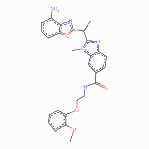 COc1ccccc1OCCNC(=O)c1ccc2nc(C(C)c3nc4c(N)cccc4o3)n(C)c2c1